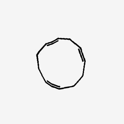 [C]1=C\CC/C=C\CC/C=C\C/1